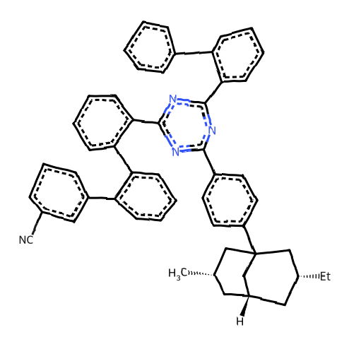 CC[C@@H]1C[C@@H]2C[C@H](C)CC(c3ccc(-c4nc(-c5ccccc5-c5ccccc5)nc(-c5ccccc5-c5ccccc5-c5cccc(C#N)c5)n4)cc3)(C1)C2